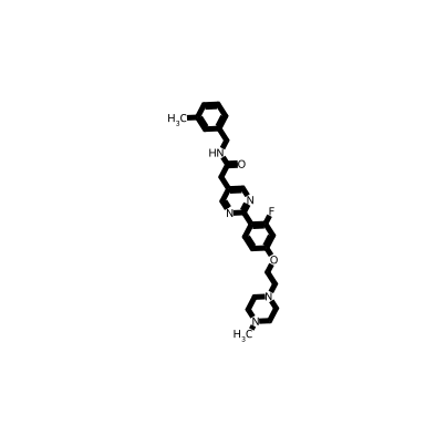 Cc1cccc(CNC(=O)Cc2cnc(-c3ccc(OCCN4CCN(C)CC4)cc3F)nc2)c1